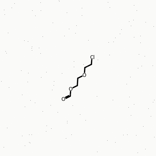 O=COCCOCCCl